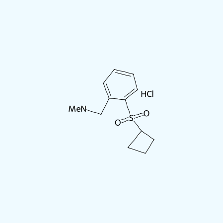 CNCc1ccccc1S(=O)(=O)C1CCC1.Cl